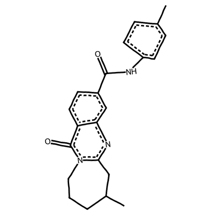 Cc1ccc(NC(=O)c2ccc3c(=O)n4c(nc3c2)CC(C)CCC4)cc1